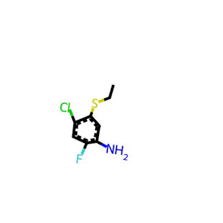 CCSc1cc(N)c(F)cc1Cl